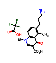 CCn1cc(C(=O)O)c(=O)c2c(C)c(CCCN)ccc21.O=C(O)C(F)(F)F